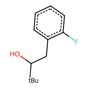 CC(C)(C)C(O)Cc1ccccc1F